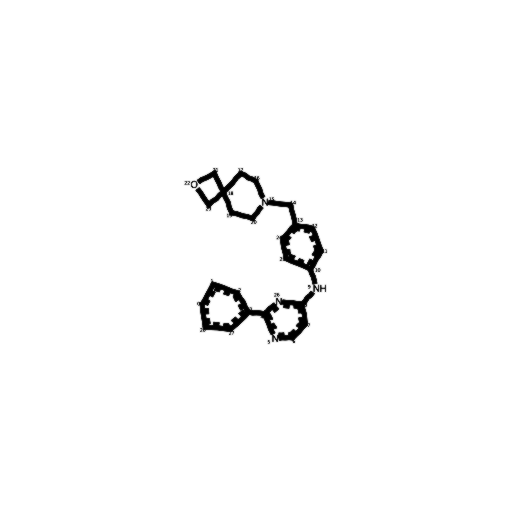 c1ccc(-c2nccc(Nc3ccc(CN4CCC5(CC4)COC5)cc3)n2)cc1